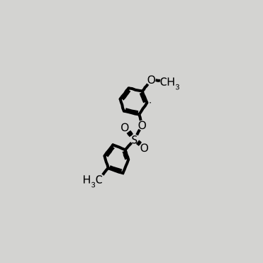 COc1[c]c(OS(=O)(=O)c2ccc(C)cc2)ccc1